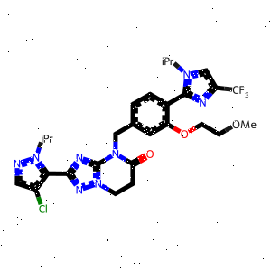 COCCOc1cc(CN2C(=O)CCn3nc(-c4c(Cl)cnn4C(C)C)nc32)ccc1-c1nc(C(F)(F)F)cn1C(C)C